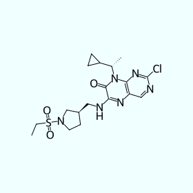 CCS(=O)(=O)N1CC[C@H](CNc2nc3cnc(Cl)nc3n([C@@H](C)C3CC3)c2=O)C1